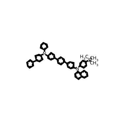 C[Si](C)(C)c1ccc(N(c2ccc(-c3ccc(-c4ccc(N(c5ccccc5)c5ccc(-c6ccccc6)cc5)cc4)cc3)cc2)c2cccc3ccccc23)cc1